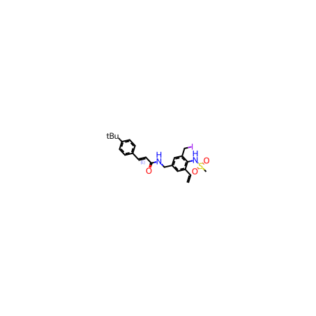 C=Cc1cc(CNC(=O)/C=C/c2ccc(C(C)(C)C)cc2)cc(CI)c1NS(C)(=O)=O